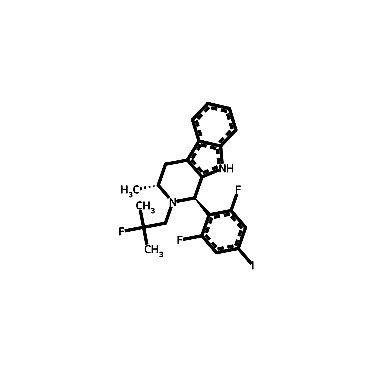 C[C@@H]1Cc2c([nH]c3ccccc23)[C@@H](c2c(F)cc(I)cc2F)N1CC(C)(C)F